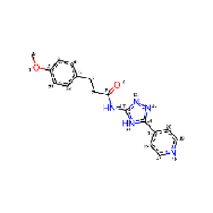 COc1ccc(CCC(=O)Nc2nnc(-c3ccncc3)[nH]2)cc1